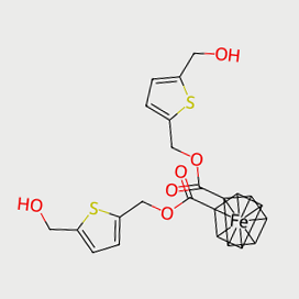 O=C(OCc1ccc(CO)s1)[C]12[CH]3[CH]4[CH]5[CH]1[Fe]45321678[CH]2[CH]1[CH]6[C]7(C(=O)OCc1ccc(CO)s1)[CH]28